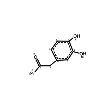 CC(C)C(=O)Cc1ccc(O)c(O)c1